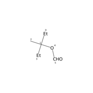 CCC(C)(CC)OC=O